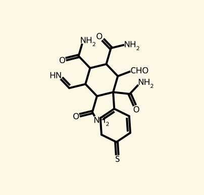 N=CC1C(C(N)=O)C(C(N)=O)C(C=O)C(C(N)=O)(C2=CCC(=S)C=C2)C1C(N)=O